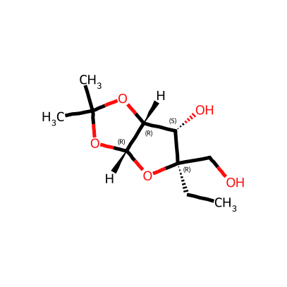 CC[C@]1(CO)O[C@@H]2OC(C)(C)O[C@@H]2[C@@H]1O